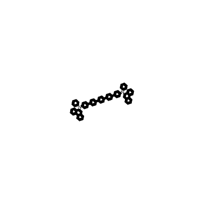 C1=CCCC(N(c2ccc(-c3ccc(-c4ccc(-c5ccc(-c6ccc(N(c7ccccc7)c7cc8ccccc8c8ccccc78)cc6)cc5)cc4)cc3)cc2)c2cc3ccccc3c3ccccc23)=C1